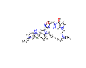 CN(C)CCn1ccc(C(=O)NCc2nc(-c3cc4c(N[C@@H]5CCN(C)C[C@@H]5F)cccc4n3CC(F)(F)F)no2)c1